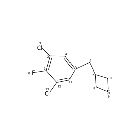 Fc1c(Cl)cc(CC2CSC2)cc1Cl